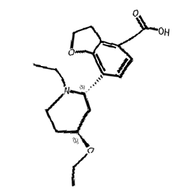 CCO[C@H]1CCN(CC)[C@H](c2ccc(C(=O)O)c3c2OCC3)C1